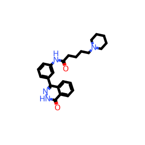 O=C(CCCCN1CCCCC1)Nc1cccc(-c2n[nH]c(=O)c3ccccc23)c1